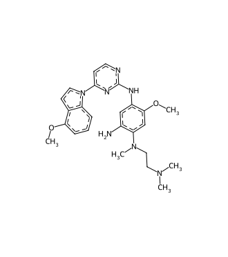 COc1cc(N(C)CCN(C)C)c(N)cc1Nc1nccc(-n2ccc3c(OC)cccc32)n1